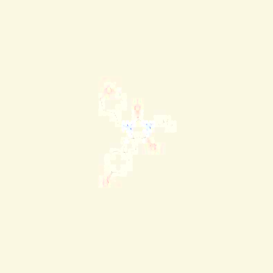 CN1C(=O)N(CC2CCOCC2)C2(CC3(CCC(=O)CC3)C2)C1=O